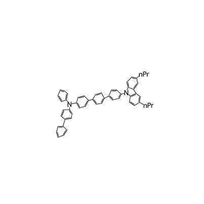 CCCc1ccc2c(c1)c1cc(CCC)ccc1n2-c1ccc(-c2ccc(-c3ccc(N(c4ccccc4)c4ccc(-c5ccccc5)cc4)cc3)cc2)cc1